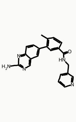 Cc1ccc(C(=O)NCc2cccnc2)cc1-c1ccc2nc(N)ncc2c1